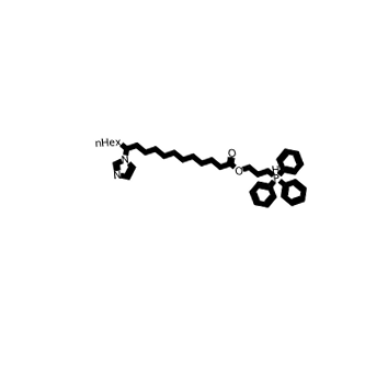 CCCCCCC(CCCCCCCCCCC(=O)OCCC[PH](c1ccccc1)(c1ccccc1)c1ccccc1)n1ccnc1